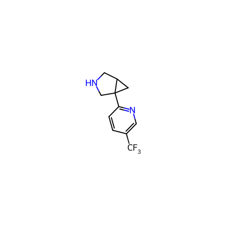 FC(F)(F)c1ccc(C23CNCC2C3)nc1